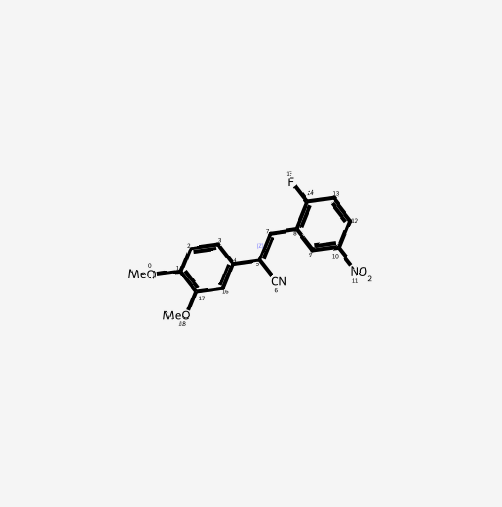 COc1ccc(/C(C#N)=C/c2cc([N+](=O)[O-])ccc2F)cc1OC